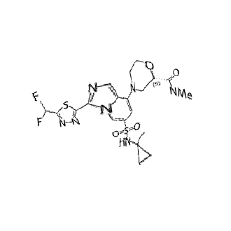 CNC(=O)[C@@H]1CN(c2cc(S(=O)(=O)NC3(C)CC3)cn3c(-c4nnc(C(F)F)s4)ncc23)CCO1